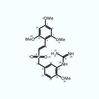 COc1cc(OC)c(C=CS(=O)(=O)Cc2ccc(OC)c(NC(=N)N)c2)c(OC)c1